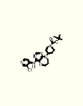 CC(C)(C)OC(=O)N1CCC(N2CCCOc3c(Nc4ccncc4Cl)ncnc32)CC1